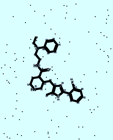 CCN(CCNC(=O)C1CCNCC1Cc1nc(-c2ccccc2F)oc1C)c1ccccc1